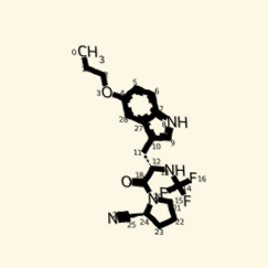 CCCOc1ccc2[nH]cc(C[C@H](NC(F)(F)F)C(=O)N3CCC[C@H]3C#N)c2c1